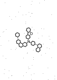 c1ccc(-c2ccc3ccc4ccc(N(c5ccc(-c6cccc7ccccc67)cc5)c5ccc6c(c5)oc5ccccc56)cc4c3c2)cc1